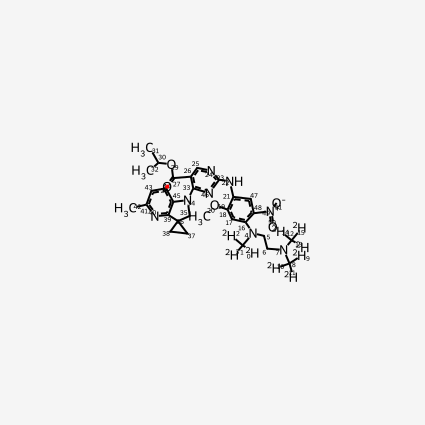 [2H]C([2H])([2H])N(CCN(C([2H])([2H])[2H])C([2H])([2H])[2H])c1cc(OC)c(Nc2ncc(C(=O)OC(C)C)c(N3CC4(CC4)c4nc(C)ccc43)n2)cc1[N+](=O)[O-]